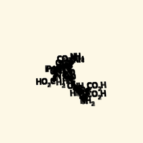 CC(C)C[C@H](NC(=O)[C@@H](N)CCC(=O)O)C(=O)N[C@@H](CCC(=O)O)C(=O)N[C@@H](CCCNC(=N)N)C(=O)N1CCC[C@H]1C(=O)NCC(=O)NCC(=O)N[C@@H](CC(N)=O)C(=O)N[C@@H](CCC(=O)O)C(=O)O